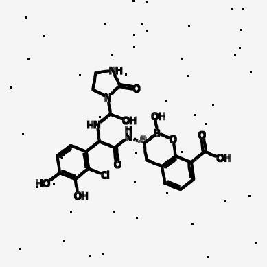 O=C(O)c1cccc2c1OB(O)[C@@H](NC(=O)C(NC(O)N1CCNC1=O)c1ccc(O)c(O)c1Cl)C2